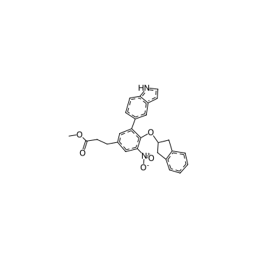 COC(=O)CCc1cc(-c2ccc3[nH]ccc3c2)c(OC2Cc3ccccc3C2)c([N+](=O)[O-])c1